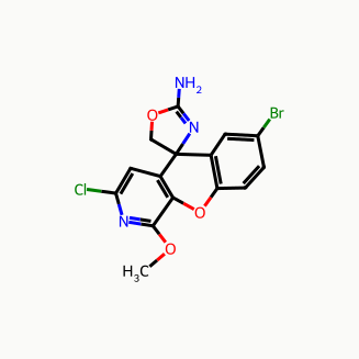 COc1nc(Cl)cc2c1Oc1ccc(Br)cc1C21COC(N)=N1